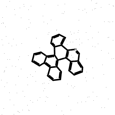 c1ccc2c(c1)cnc1c3ccccc3c3c4ccccc4c4ccccc4c3c21